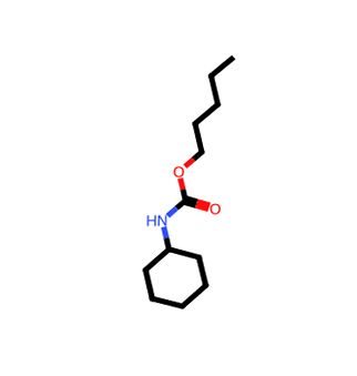 CCCCCOC(=O)NC1CCCCC1